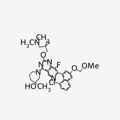 COCOc1cc(-c2ncc3c(N4CCCC(C)(O)C4)nc(OCC4(CN(C)C)CC4)nc3c2F)c2c(Cl)cccc2c1